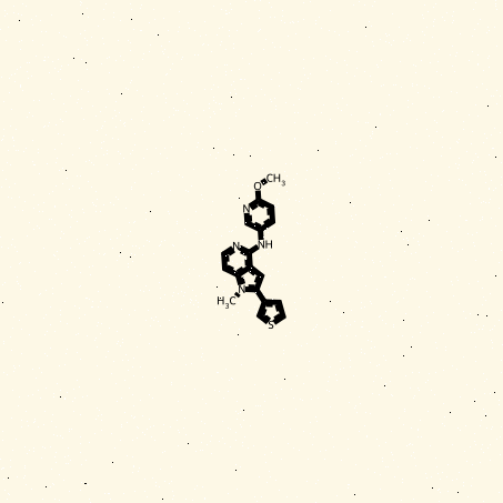 COc1ccc(Nc2nccc3c2cc(-c2ccsc2)n3C)cn1